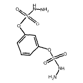 NNS(=O)(=O)Oc1cccc(OS(=O)(=O)NN)c1